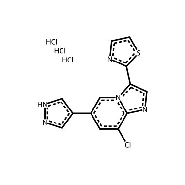 Cl.Cl.Cl.Clc1cc(-c2cn[nH]c2)cn2c(-c3nccs3)cnc12